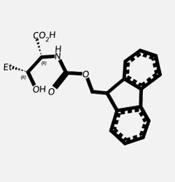 CC[C@@H](O)[C@@H](NC(=O)OCC1c2ccccc2-c2ccccc21)C(=O)O